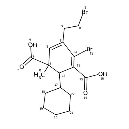 CC1(C(=O)O)C=C(CCBr)C(Br)=C(C(=O)O)C1C1CCCCC1